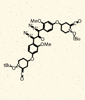 COc1cc(OC2CCN(OC(C)(C)C)C(=C=O)C2)ccc1C(=[N+]=[N-])C(=O)C(=[N+]=[N-])c1ccc(OC2CCN(OC(C)(C)C)C(=C=O)C2)cc1OC